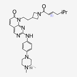 CC(C)C/C=C/C(=O)N1CC(CCn2c(=O)ccc3cnc(Nc4ccc(N5CCN(C)[C@@H](C)C5)cc4)nc32)C1